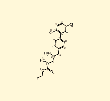 CCOC(=O)C(O)CN(N)Cc1ccc(-c2cc(Cl)ccc2Cl)cc1